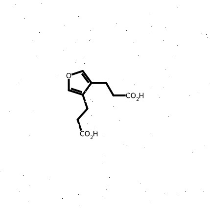 O=C(O)CCc1cocc1CCC(=O)O